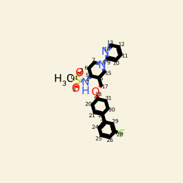 CS(=O)(=O)NC1CCN(c2ccccn2)CC1COC1CC=C(c2cccc(F)c2)CC1